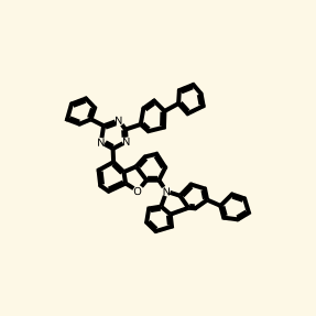 c1ccc(-c2ccc(-c3nc(-c4ccccc4)nc(-c4cccc5oc6c(-n7c8ccccc8c8cc(-c9ccccc9)ccc87)cccc6c45)n3)cc2)cc1